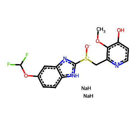 COc1c(O)ccnc1C[S+]([O-])c1nc2cc(OC(F)F)ccc2[nH]1.[NaH].[NaH]